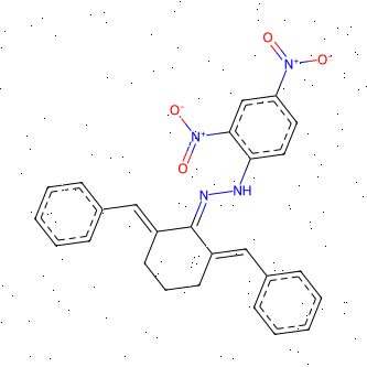 O=[N+]([O-])c1ccc(NN=C2C(=Cc3ccccc3)CCCC2=Cc2ccccc2)c([N+](=O)[O-])c1